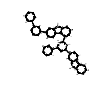 c1ccc(-c2cccc(-c3ccc4c(c3)sc3cccc(-c5nc(-c6ccccc6)cc(-c6ccc7c(c6)oc6ccccc67)n5)c34)c2)cc1